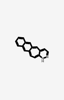 C1=NNC2=CC=c3cc4ccccc4cc3=CC2=C1